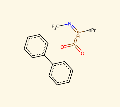 CCC[SH](=NC(F)(F)F)=S(=O)=O.c1ccc(-c2ccccc2)cc1